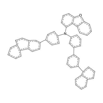 c1cc(-c2cccc(N(c3ccc(-c4ccc5c(ccc6ccccc65)c4)cc3)c3cccc4oc5ccccc5c34)c2)cc(-c2cccc3ccccc23)c1